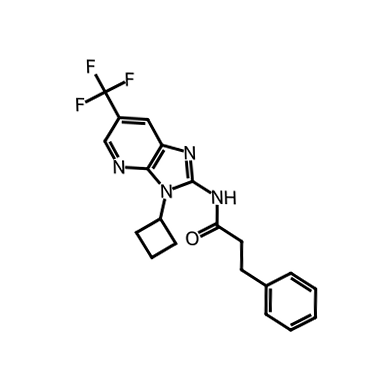 O=C(CCc1ccccc1)Nc1nc2cc(C(F)(F)F)cnc2n1C1CCC1